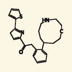 O=C(Cc1ccccc1C1CCCCCNCCC1)C1=CCC(c2cccs2)=N1